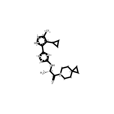 C[C@H](Nc1nnc(-c2[nH]nc(C(F)(F)F)c2C2CC2)o1)C(=O)N1CCC2(CC1)CC2